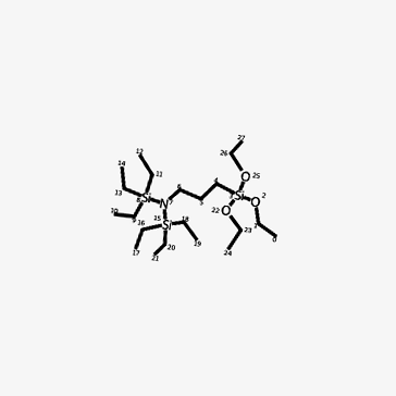 CCO[Si](CCCN([Si](CC)(CC)CC)[Si](CC)(CC)CC)(OCC)OCC